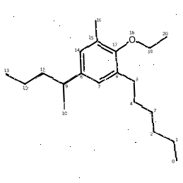 CCCCCCc1cc(C(I)CCC)cc(C)c1OCC